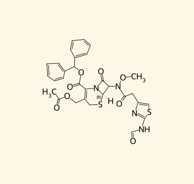 CON(C(=O)Cc1csc(NC=O)n1)C1C(=O)N2C(C(=O)OC(c3ccccc3)c3ccccc3)=C(COC(C)=O)CS[C@H]12